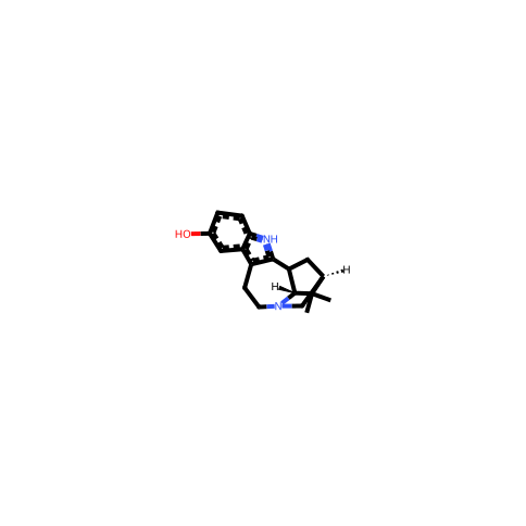 CC1(C)[C@@H]2CC3c4[nH]c5ccc(O)cc5c4CCN(C2)[C@H]31